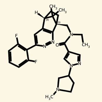 CCN(C[C@@]12CC[C@@H](c3cc(-c4c(F)cccc4F)nnc31)C2(C)C)C(=O)c1cnn(C2CCN(C)C2)c1